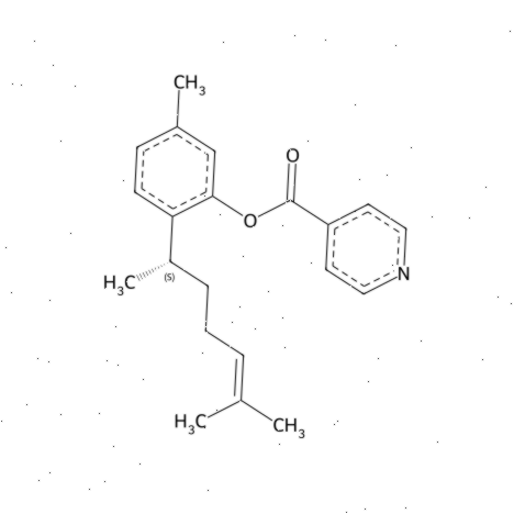 CC(C)=CCC[C@H](C)c1ccc(C)cc1OC(=O)c1ccncc1